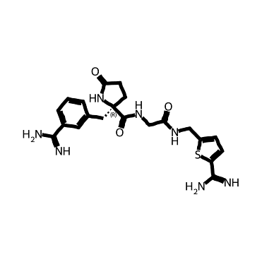 N=C(N)c1cccc(C[C@@]2(C(=O)NCC(=O)NCc3ccc(C(=N)N)s3)CCC(=O)N2)c1